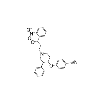 N#Cc1ccc(O[C@@H]2CCN(CCC(=O)c3ccccc3[N+](=O)[O-])C[C@@H]2c2ccccc2)cc1